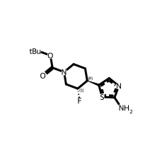 CC(C)(C)OC(=O)N1CC[C@@H](c2cnc(N)s2)[C@H](F)C1